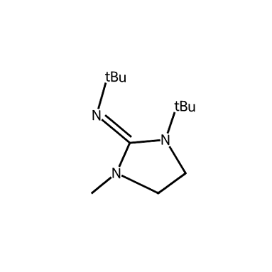 CN1CCN(C(C)(C)C)C1=NC(C)(C)C